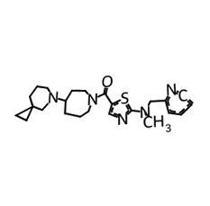 CN(Cc1ccccn1)c1ncc(C(=O)N2CCCC(N3CCCC4(CC4)C3)CC2)s1